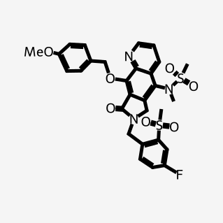 COc1ccc(COc2c3c(c(N(C)S(C)(=O)=O)c4cccnc24)CN(Cc2ccc(F)cc2S(C)(=O)=O)C3=O)cc1